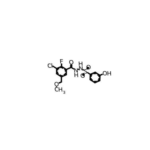 COCc1cc(Cl)c(F)c(C(=O)NNS(=O)(=O)c2cccc(O)c2)c1